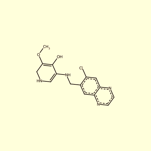 COC1=C(O)C(NCc2cc3nccnc3cc2Cl)=CNC1